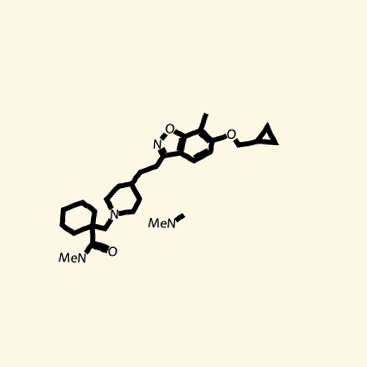 CNC.CNC(=O)C1(CN2CCC(CCc3noc4c(C)c(OCC5CC5)ccc34)CC2)CCCCC1